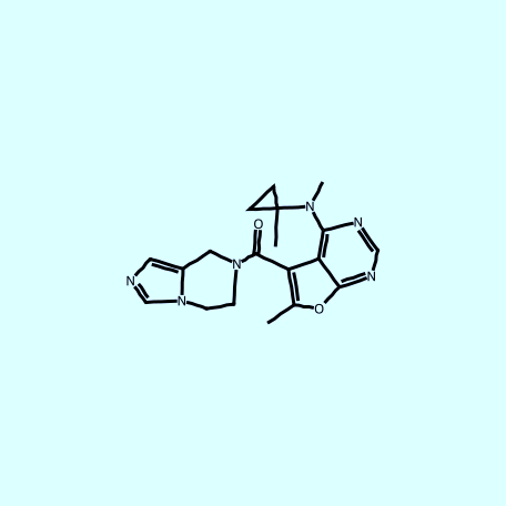 Cc1oc2ncnc(N(C)C3(C)CC3)c2c1C(=O)N1CCn2cncc2C1